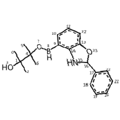 CC(C)(O)C(C)(C)OBc1cccc2c1NC(c1ccccc1)O2